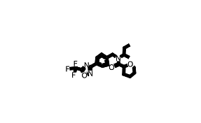 CCC(C)N(Cc1ccc(-c2noc(C(F)(F)F)n2)cc1)C(=O)C1CCCCO1